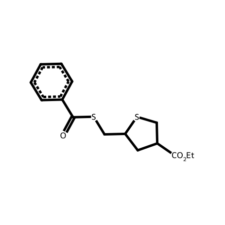 CCOC(=O)C1CSC(CSC(=O)c2ccccc2)C1